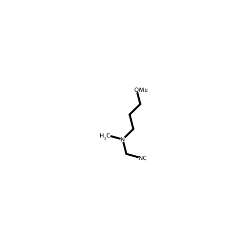 [C-]#[N+]CN(C)CCCOC